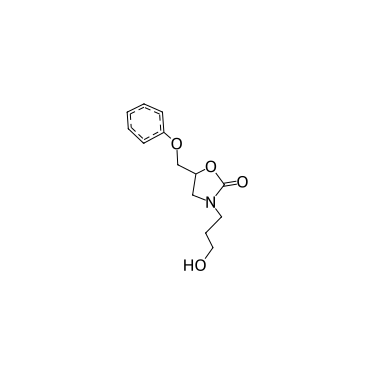 O=C1OC(COc2ccccc2)CN1CCCO